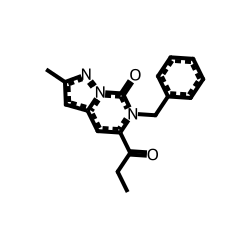 CCC(=O)c1cc2cc(C)nn2c(=O)n1Cc1ccccc1